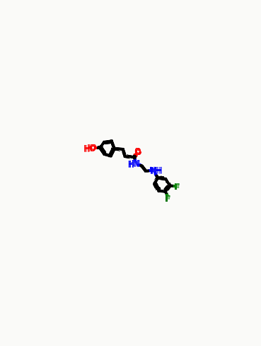 O=C(CCc1ccc(O)cc1)NCCNc1ccc(F)c(F)c1